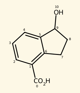 O=C(O)c1cccc2c1CCC2O